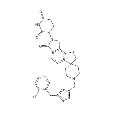 O=C1CCC(N2Cc3c(ccc4c3OCC43CCN(Cc4cnn(Cc5ccccc5Cl)c4)CC3)C2=O)C(=O)N1